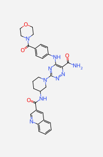 NC(=O)c1nnc(N2CCCC(NC(=O)c3cnc4ccccc4c3)C2)nc1Nc1ccc(C(=O)N2CCOCC2)cc1